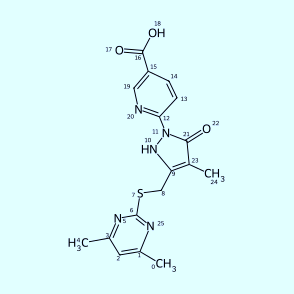 Cc1cc(C)nc(SCc2[nH]n(-c3ccc(C(=O)O)cn3)c(=O)c2C)n1